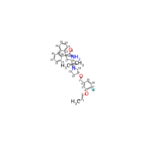 CC=COc1cc(CO[C@@H]2CCN(C(C)(C)CCC(C(N)=O)(c3ccccc3)c3ccccc3)C2)ccc1F